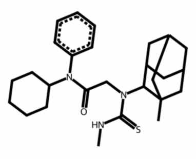 CNC(=S)N(CC(=O)N(c1ccccc1)C1CCCCC1)C1C2CC3CC(C2)CC1(C)C3